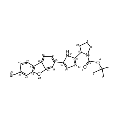 CC(C)(C)OC(=O)N1CCCC1c1ncc(-c2ccc3c(c2)oc2cc(Br)ccc23)[nH]1